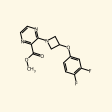 COC(=O)c1nccnc1N1CC(Oc2ccc(F)c(F)c2)C1